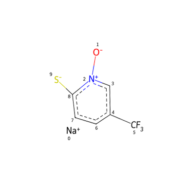 [Na+].[O-][n+]1cc(C(F)(F)F)ccc1[S-]